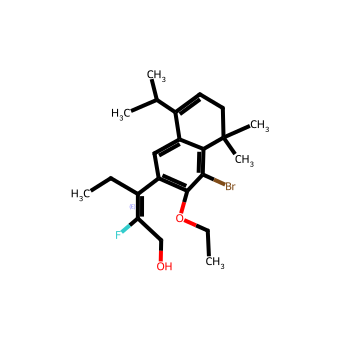 CCOc1c(/C(CC)=C(/F)CO)cc2c(c1Br)C(C)(C)CC=C2C(C)C